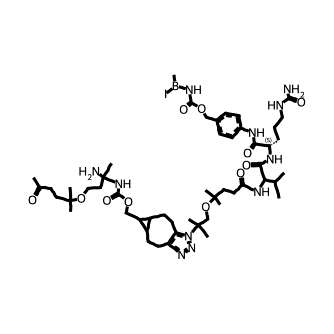 CB(I)NC(=O)OCc1ccc(NC(=O)[C@H](CCCNC(N)=O)NC(=O)C(NC(=O)CCC(C)(C)OCC(C)(C)n2nnc3c2CCC2C(CC3)C2COC(=O)NC(C)(N)CCOC(C)(C)CCC(C)=O)C(C)C)cc1